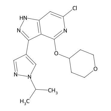 CC(C)n1cc(-c2n[nH]c3cc(Cl)nc(OC4CCOCC4)c23)cn1